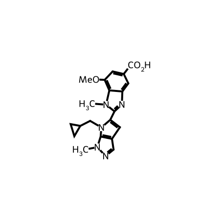 COc1cc(C(=O)O)cc2nc(-c3cc4cnn(C)c4n3CC3CC3)n(C)c12